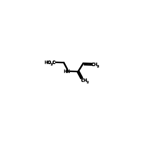 C=CC(=C)NCC(=O)O